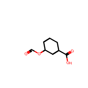 O=COC1CCCC(C(=O)O)C1